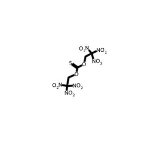 O=[N+]([O-])C(COC(=S)OCC([N+](=O)[O-])([N+](=O)[O-])[N+](=O)[O-])([N+](=O)[O-])[N+](=O)[O-]